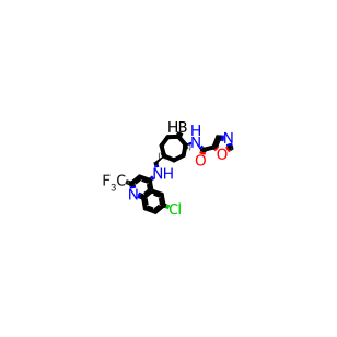 B=C1CC[C@H](CNc2cc(C(F)(F)F)nc3ccc(Cl)cc23)CC[C@@H]1NC(=O)c1cnco1